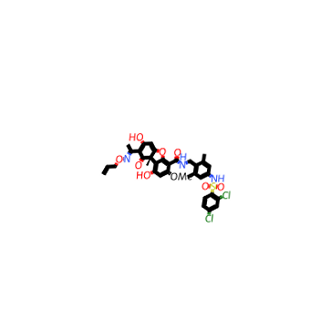 C=CCON=C(C)C1=C(O)C=C2Oc3c(C(=O)NCc4c(C)cc(NS(=O)(=O)c5ccc(Cl)cc5Cl)cc4C)c(OC)cc(O)c3[C@]2(C)C1=O